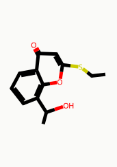 CCSc1cc(=O)c2cccc(C(C)O)c2o1